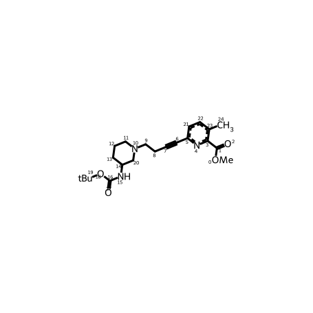 COC(=O)c1nc(C#CCCN2CCCC(NC(=O)OC(C)(C)C)C2)ccc1C